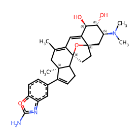 CC1=C2C=C3[C@@H](O)[C@H](O)[C@@H](N(C)C)C[C@]34CC[C@]2(O4)C2CC=C(c3ccc4oc(N)nc4c3)[C@@]2(C)C1